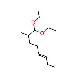 CCC=CCCC(C)C(OCC)OCC